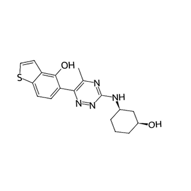 Cc1nc(N[C@@H]2CCC[C@H](O)C2)nnc1-c1ccc2sccc2c1O